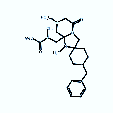 COC(=O)N(C)CC12CN(C(=O)O)CC(=O)N1CC1(CCN(Cc3ccccc3)CC1)N2C